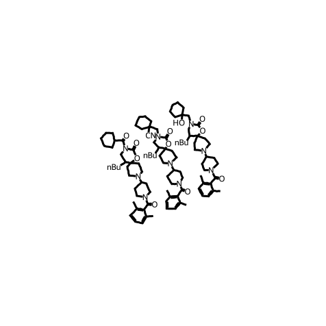 CCCCC1CN(C(=O)C2CCCCC2)C(=O)OC12CCN(C1CCN(C(=O)c3c(C)cccc3C)CC1)CC2.CCCCC1CN(CC2(C#N)CCCCC2)C(=O)OC12CCN(C1CCN(C(=O)c3c(C)cccc3C)CC1)CC2.CCCCC1CN(CC2(O)CCCCC2)C(=O)OC12CCN(C1CCN(C(=O)c3c(C)cccc3C)CC1)CC2